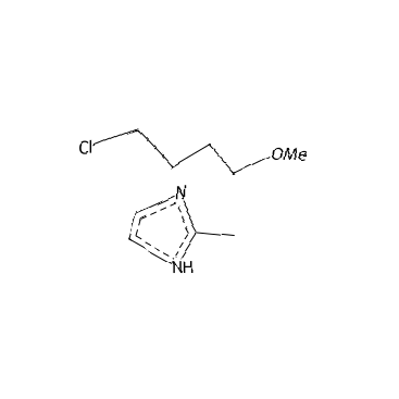 COCCCCCl.Cc1ncc[nH]1